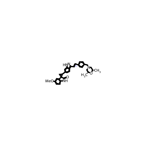 COc1ccc2c(c1)C1(CC1c1ccc3c(/C=C/c4ccc(CN5C[C@@H](C)O[C@@H](C)C5)cc4)n[nH]c3c1)C(=O)N2